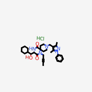 CC#CCN1C(=O)[C@H]([C@@H](O)C2CCCCC2)NC(=O)C12CCN(Cc1c(C)nn(-c3ccccc3)c1C)CC2.Cl